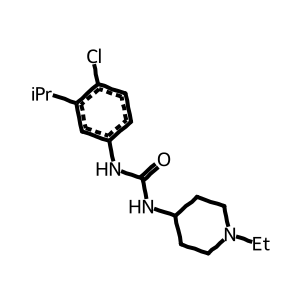 CCN1CCC(NC(=O)Nc2ccc(Cl)c(C(C)C)c2)CC1